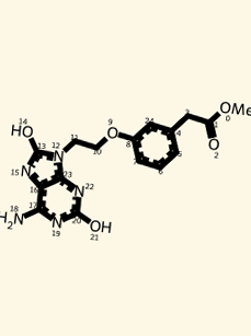 COC(=O)Cc1cccc(OCCn2c(O)nc3c(N)nc(O)nc32)c1